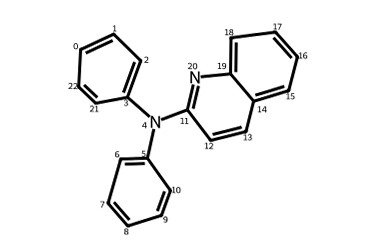 c1ccc(N(c2ccccc2)c2ccc3ccccc3n2)cc1